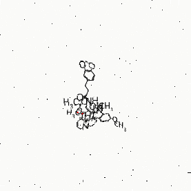 CC[C@]12C=CCN3CC[C@@]4(c5ccc(OC)cc5N(C)[C@H]4C(O)(CNC(=O)CCc4ccc5c(c4)OCO5)[C@@H]1OC(C)=O)[C@@H]32